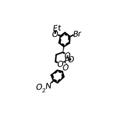 CCOc1cc(Br)cc([C@@H]2CCO[P@@](=O)(Oc3ccc([N+](=O)[O-])cc3)O2)c1